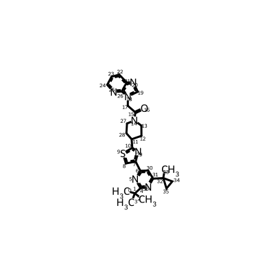 CC(C)(C)c1nc(-c2csc(C3CCN(C(=O)Cn4cnc5cccnc54)CC3)n2)cc(C2(C)CC2)n1